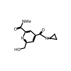 CNC(=O)c1cc(C(=O)NC2CC2)cc(CO)n1